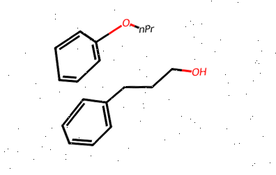 CCCOc1ccccc1.OCCCc1ccccc1